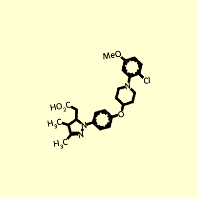 COc1ccc(Cl)c(N2CCC(Oc3ccc(N4N=C(C)C(C)C4CC(=O)O)cc3)CC2)c1